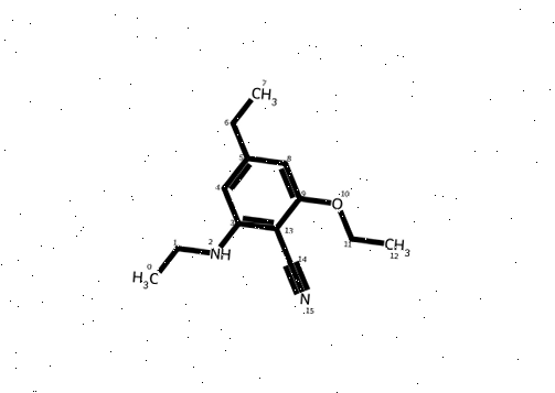 CCNc1cc(CC)cc(OCC)c1C#N